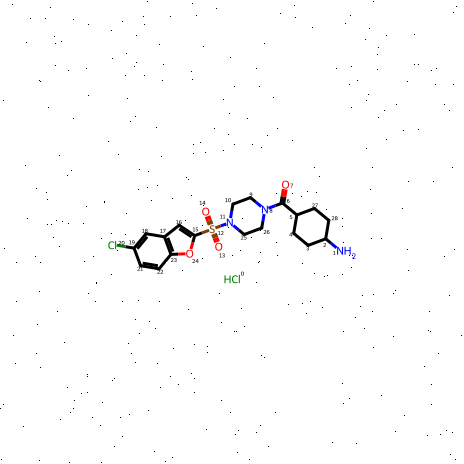 Cl.NC1CCC(C(=O)N2CCN(S(=O)(=O)c3cc4cc(Cl)ccc4o3)CC2)CC1